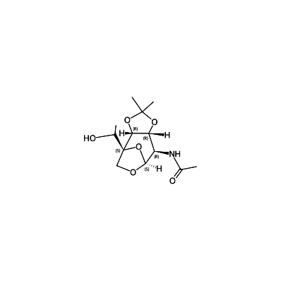 CC(=O)N[C@H]1[C@H]2OC[C@@](C(C)O)(O2)[C@@H]2OC(C)(C)O[C@H]12